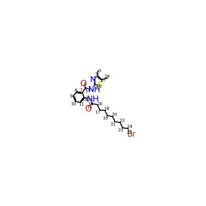 Cc1nc(NC(=O)c2ccccc2NC(=O)CCCCCCCCCBr)sc1C